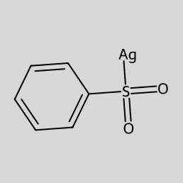 O=[S](=O)([Ag])c1ccccc1